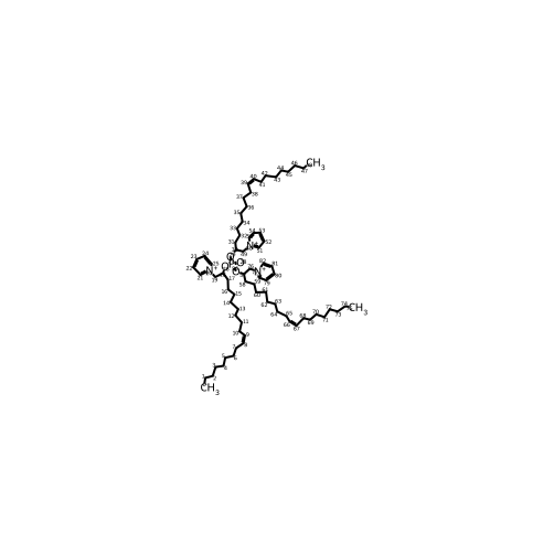 CCCCCCCC/C=C\CCCCCCCCC(C[n+]1ccccc1)OP(=O)(OC(CCCCCCCC/C=C\CCCCCCCC)C[n+]1ccccc1)OC(CCCCCCCC/C=C\CCCCCCCC)C[n+]1ccccc1